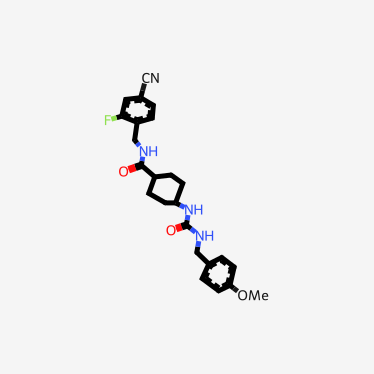 COc1ccc(CNC(=O)NC2CCC(C(=O)NCc3ccc(C#N)cc3F)CC2)cc1